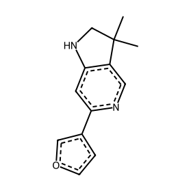 CC1(C)CNc2cc(-c3ccoc3)ncc21